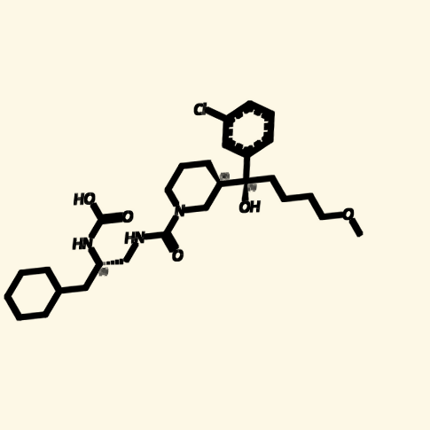 COCCCC[C@@](O)(c1cccc(Cl)c1)[C@@H]1CCCN(C(=O)NC[C@H](CC2CCCCC2)NC(=O)O)C1